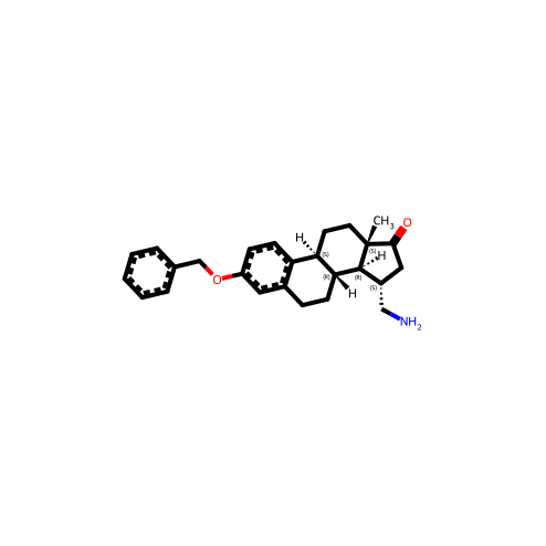 C[C@]12CC[C@@H]3c4ccc(OCc5ccccc5)cc4CC[C@H]3[C@@H]1[C@@H](CN)CC2=O